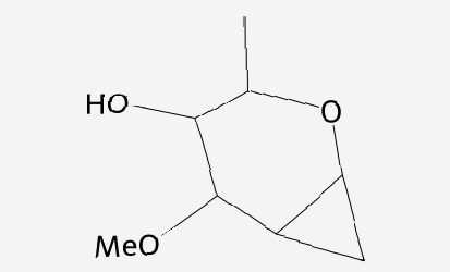 COC1C(O)C(C)OC2CC21